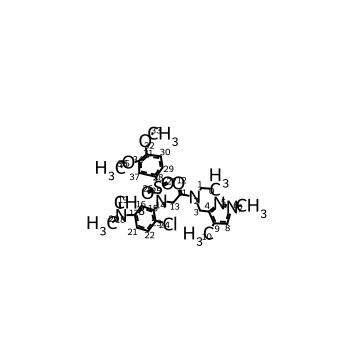 CCN(Cc1nn(C)cc1C)C(=O)CN(c1cc(N(C)C)ccc1Cl)S(=O)(=O)c1ccc(OC)c(OC)c1